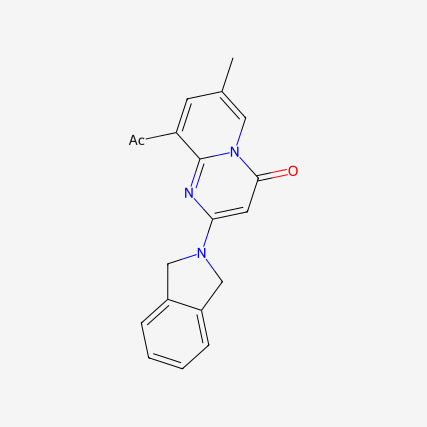 CC(=O)c1cc(C)cn2c(=O)cc(N3Cc4ccccc4C3)nc12